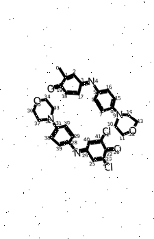 CC1=CC(=Nc2ccc(N3CCOCC3)cc2)C=CC1=O.O=C1C(Cl)=CC(=Nc2ccc(N3CCOCC3)cc2)C=C1Cl